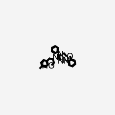 Cc1ccc(CC(CO)n2c(=N)n(Cc3nc4ccccc4o3)c3ccccc32)cc1